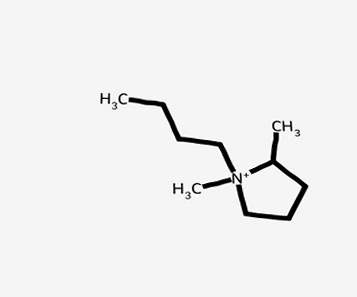 CCCC[N+]1(C)CCCC1C